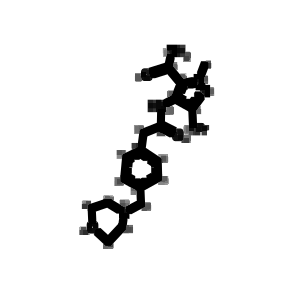 CCCc1nn(C)c(C(N)=O)c1NC(=O)Cc1ccc(CN2CCOCC2)cc1